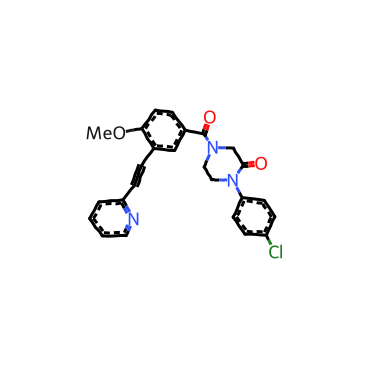 COc1ccc(C(=O)N2CCN(c3ccc(Cl)cc3)C(=O)C2)cc1C#Cc1ccccn1